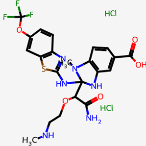 CNCCOC(C(N)=O)C1(Nc2nc3ccc(OC(F)(F)F)cc3s2)Nc2cc(C(=O)O)ccc2N1C.Cl.Cl